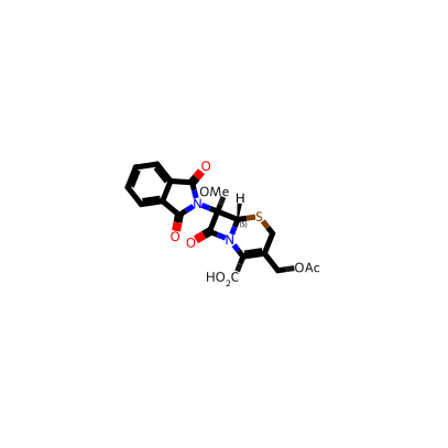 COC1(N2C(=O)c3ccccc3C2=O)C(=O)N2C(C(=O)O)=C(COC(C)=O)CS[C@H]21